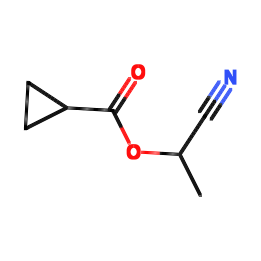 CC(C#N)OC(=O)C1CC1